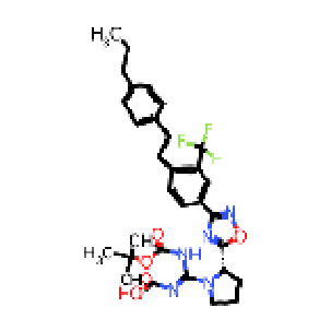 CCCc1ccc(CCc2ccc(-c3noc([C@@H]4CCCN4/C(=N/C(=O)O)NC(=O)OC(C)(C)C)n3)cc2C(F)(F)F)cc1